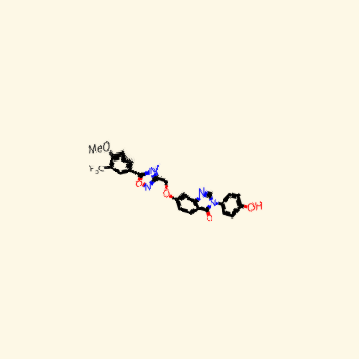 COc1ccc(-c2nc(COc3ccc4c(=O)n(-c5ccc(O)cc5)cnc4c3)no2)cc1C(F)(F)F